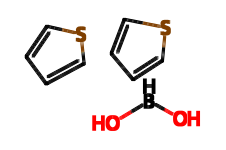 OBO.c1ccsc1.c1ccsc1